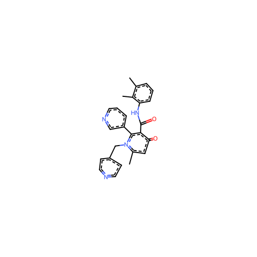 Cc1cccc(NC(=O)c2c(-c3cccnc3)n(Cc3ccncc3)c(C)cc2=O)c1C